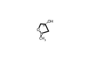 CN1C[C@@H](O)CO1